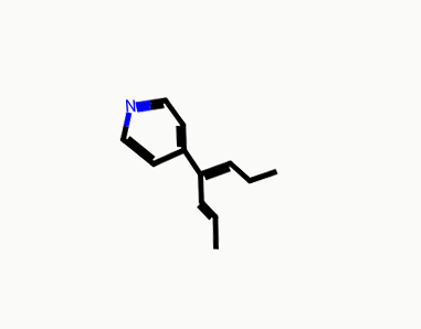 CC=CC(=CCC)c1ccncc1